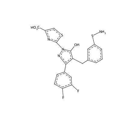 NSc1cccc(Cc2c(-c3ccc(F)c(F)c3)nn(-c3nc(C(=O)O)cs3)c2O)c1